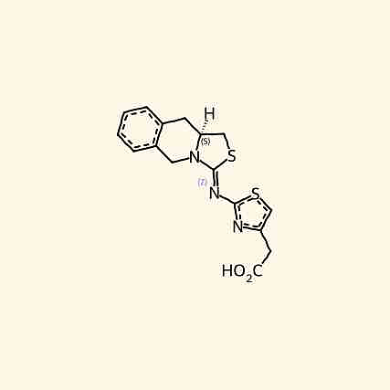 O=C(O)Cc1csc(/N=C2\SC[C@@H]3Cc4ccccc4CN23)n1